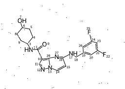 O=C(NC1CCC(O)CC1)c1cnn2ccc(NCc3cc(F)cc(F)c3)nc12